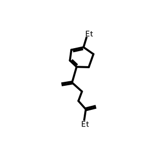 C=C(CC)CCC(=C)C1=CC=C(CC)CC1